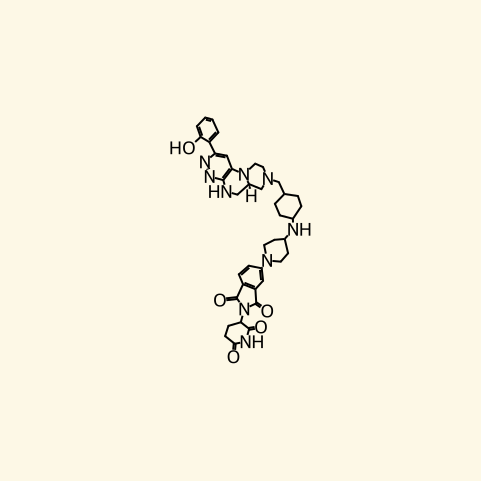 O=C1CCC(N2C(=O)c3ccc(N4CCC(NC5CCC(CN6CCN7c8cc(-c9ccccc9O)nnc8NC[C@H]7C6)CC5)CC4)cc3C2=O)C(=O)N1